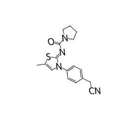 Cc1cn(-c2ccc(CC#N)cc2)c(=NC(=O)N2CCCC2)s1